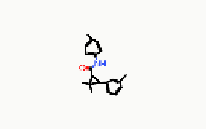 Cc1ccc(NC(=O)C2C(c3cccc(C)c3)C2(C)C)cc1